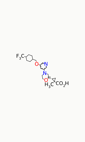 CC1(C(=O)O)CC1[C@H]1CN(c2cncc(OCC3CCC(C(F)(F)F)CC3)c2)CCO1